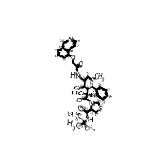 CSCC(NC(=O)COc1cccc2cnccc12)C(=O)[C@@H](Cc1ccccc1)[C@](N)(O)C(=O)N1CSCC1C(=O)NC(C)(C)C